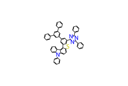 c1ccc(-c2cc(-c3ccccc3)cc(-c3cc(-c4nc(-c5ccccc5)nc(-c5ccccc5)n4)c4sc5ccc6c(c7ccccc7n6-c6ccccc6)c5c4c3)c2)cc1